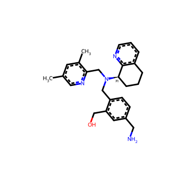 Cc1cnc(CN(Cc2ccc(CN)cc2CO)[C@@H]2CCCc3cccnc32)c(C)c1